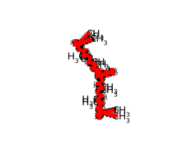 CCCCCCCCC1(CCCCCCCC)c2ccccc2-c2ccc(-c3ccc4c(c3)C(C)(C)c3cc(-c5ccc6c(c5)C(C)(C)c5cc(-c7ccc8c(c7)Oc7cc(-c9ccc%10c(c9)C(C)(C)c9cc(-c%11ccc%12c(c%11)C(C)(C)c%11cc(-c%13ccc%14c(c%13)C(CCCCCCCC)(CCCCCCCC)c%13ccccc%13-%14)ccc%11-%12)ccc9-%10)ccc7N8c7ccc(-c8ccccc8)cc7)ccc5-6)ccc3-4)cc21